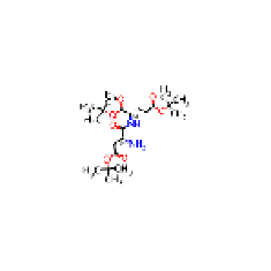 CC(C)(C)OC(=O)CC[C@H](NC(=O)[C@@H](N)CC(=O)OC(C)(C)C)C(=O)OC(C)(C)C